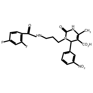 CC1=C(C(=O)O)C(c2cccc([N+](=O)[O-])c2)N(CCCNCC(=O)c2ccc(F)cc2F)C(=O)N1